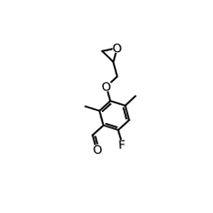 Cc1cc(F)c(C=O)c(C)c1OCC1CO1